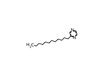 CCCCCCCCCCCCc1cnccn1